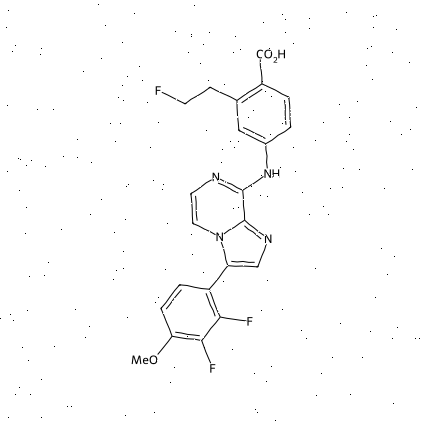 COc1ccc(-c2cnc3c(Nc4ccc(C(=O)O)c(CCF)c4)nccn23)c(F)c1F